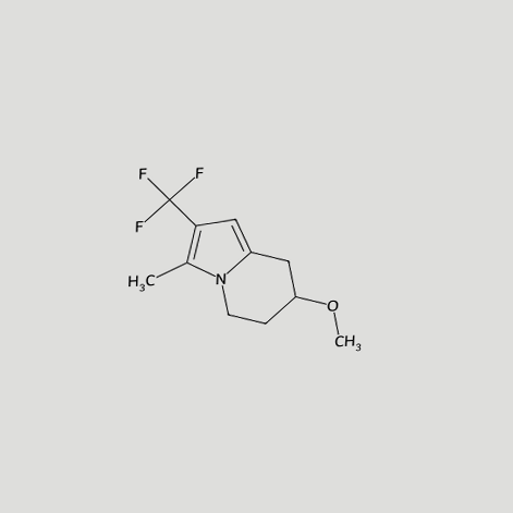 COC1CCn2c(cc(C(F)(F)F)c2C)C1